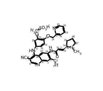 CCOc1cc2ncc(C#N)c(Nc3ccc(OCc4ccccn4)c(Cl)c3)c2cc1NC(=O)/C=C/[C@H]1CCCN1C.CS(=O)(=O)O